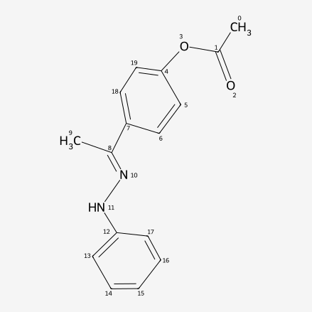 CC(=O)Oc1ccc(C(C)=NNc2ccccc2)cc1